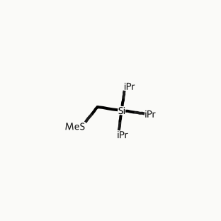 CSC[Si](C(C)C)(C(C)C)C(C)C